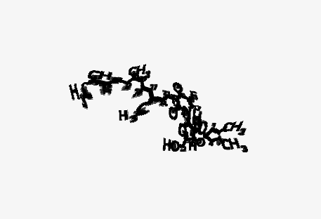 CCCC1(CCC)O[C@@H]2[C@H](O1)[C@@H](CO)O[C@H]2n1cc(F)c(=O)n(CC=C(C)CCC=C(C)CCC=C(C)C)c1=O